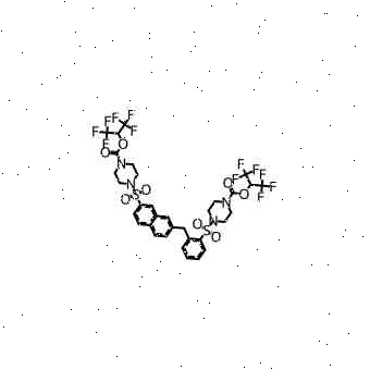 O=C(OC(C(F)(F)F)C(F)(F)F)N1CCN(S(=O)(=O)c2ccc3ccc(Cc4ccccc4S(=O)(=O)N4CCN(C(=O)OC(C(F)(F)F)C(F)(F)F)CC4)cc3c2)CC1